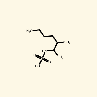 CCCCC(C)C(C)NS(=O)(=O)O